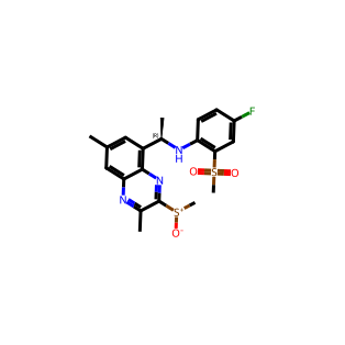 Cc1cc([C@@H](C)Nc2ccc(F)cc2S(C)(=O)=O)c2nc([S+](C)[O-])c(C)nc2c1